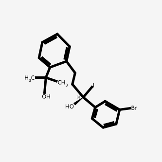 CC(C)(O)c1ccccc1CC[C@](O)(I)c1cccc(Br)c1